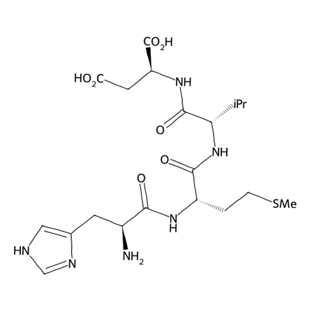 CSCC[C@H](NC(=O)[C@@H](N)Cc1c[nH]cn1)C(=O)N[C@H](C(=O)N[C@@H](CC(=O)O)C(=O)O)C(C)C